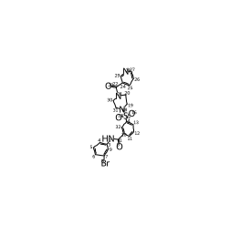 O=C(Nc1cccc(Br)c1)c1cccc(S(=O)(=O)N2CCN(C(=O)c3cccnc3)CC2)c1